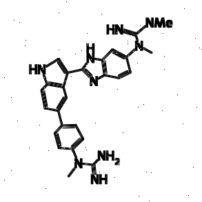 CNC(=N)N(C)c1ccc2nc(-c3c[nH]c4ccc(-c5ccc(N(C)C(=N)N)cc5)cc34)[nH]c2c1